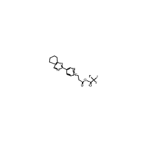 O=C(CC[n+]1ccc(-c2ncc3c(n2)CCCC3)cn1)OC(=O)C(F)(F)F